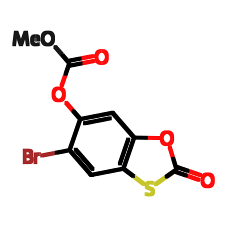 COC(=O)Oc1cc2oc(=O)sc2cc1Br